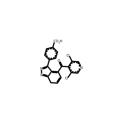 O=C(O)c1ccc(C2=NN=C3CC=CC(C(=O)c4c(Cl)cncc4Cl)=C32)cc1